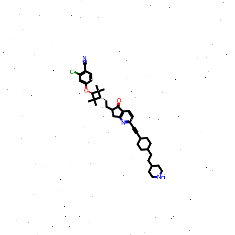 CC1(C)[C@H](CCC2Cc3nc(C#CC4CCC(CCC5CCNCC5)CC4)ccc3C2=O)C(C)(C)[C@H]1Oc1ccc(C#N)c(Cl)c1